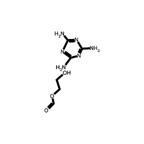 Nc1nc(N)nc(N)n1.O=COCCO